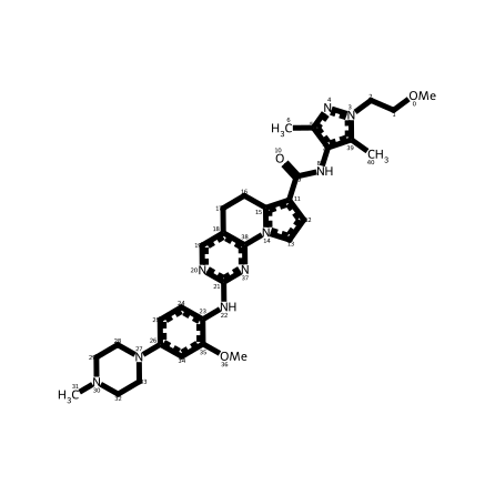 COCCn1nc(C)c(NC(=O)c2ccn3c2CCc2cnc(Nc4ccc(N5CCN(C)CC5)cc4OC)nc2-3)c1C